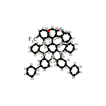 FC(F)(F)c1ccccc1N1c2ccccc2B2c3cc(-c4ccccc4)ccc3N3c4ccc(-c5ccccc5)cc4B4c5ccccc5Sc5c4c3c2c1c5-c1cccc2sc3ccccc3c12